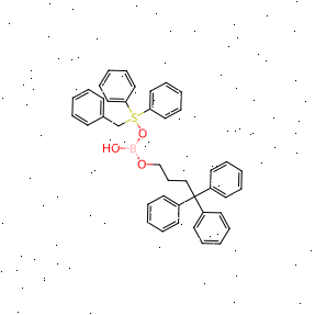 OB(OCCCC(c1ccccc1)(c1ccccc1)c1ccccc1)OS(Cc1ccccc1)(c1ccccc1)c1ccccc1